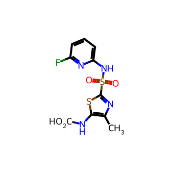 Cc1nc(S(=O)(=O)Nc2cccc(F)n2)sc1NC(=O)O